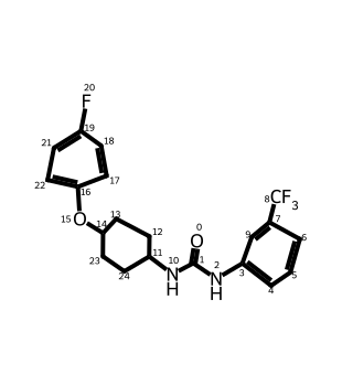 O=C(Nc1cccc(C(F)(F)F)c1)NC1CCC(Oc2ccc(F)cc2)CC1